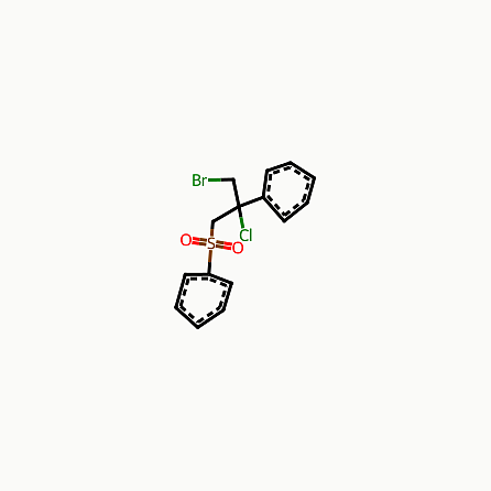 O=S(=O)(CC(Cl)(CBr)c1ccccc1)c1ccccc1